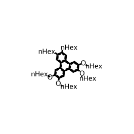 CCCCCCOc1cc2c3cc(CCCCCC)c(CCCCCC)cc3c3cc(OCCCCCC)c(OCCCCCC)cc3c2cc1OCCCCCC